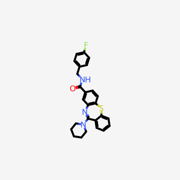 O=C(NCc1ccc(F)cc1)c1ccc2c(c1)N=C(N1CCCCC1)c1ccccc1S2